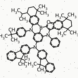 CC(C)C1CCC(C)(C)c2cc3c(cc21)N(c1ccc(C(C)(C)C)cc1)c1cc(N(c2ccc4c(c2)C(C)(C)c2ccccc2-4)c2ccc4c(c2)C(C)(C)c2ccccc2-4)cc2c1B3c1oc3cc4c(cc3c1N2c1ccccc1)C(C)(C)CCC4(C)C